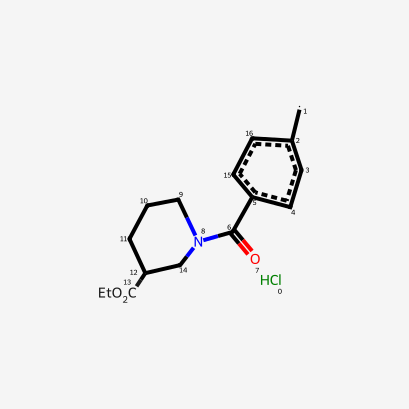 Cl.[CH2]c1ccc(C(=O)N2CCCC(C(=O)OCC)C2)cc1